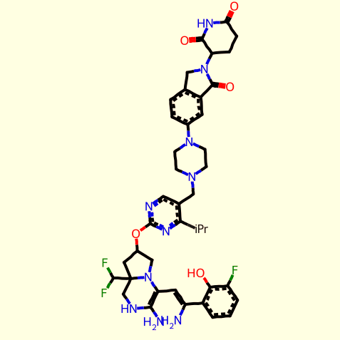 CC(C)c1nc(OC2CN3C(/C=C(\N)c4cccc(F)c4O)=C(N)NCC3(C(F)F)C2)ncc1CN1CCN(c2ccc3c(c2)C(=O)N(C2CCC(=O)NC2=O)C3)CC1